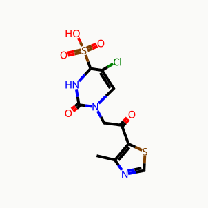 Cc1ncsc1C(=O)CN1C=C(Cl)C(S(=O)(=O)O)NC1=O